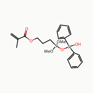 C=C(C)C(=O)OCCC[Si](OC)(OC)O[Si](O)(c1ccccc1)c1ccccc1